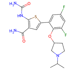 CC(C)N1CCC(Oc2c(F)cc(F)cc2-c2cc(C(N)=O)c(NC(N)=O)s2)C1